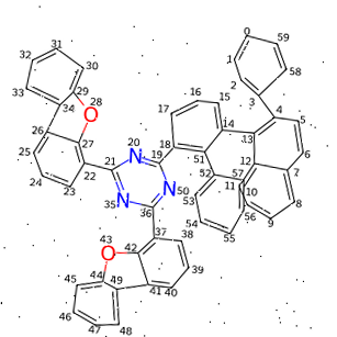 c1ccc(-c2ccc3ccccc3c2-c2cccc(-c3nc(-c4cccc5c4oc4ccccc45)nc(-c4cccc5c4oc4ccccc45)n3)c2-c2ccccc2)cc1